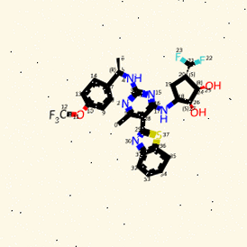 Cc1nc(N[C@H](C)c2ccc(OC(F)(F)F)cc2)nc(NC2C[C@H](C(F)F)[C@@H](O)[C@H]2O)c1-c1nc2ccccc2s1